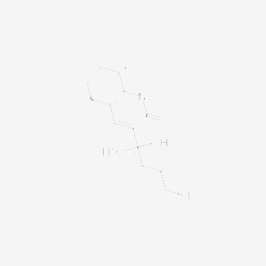 CCCCC(C)(C)c1cc2c([nH]c1=O)CCCC2=O